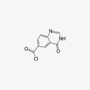 O=C(Cl)c1ccc2nc[nH]c(=O)c2c1